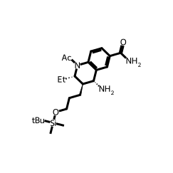 CC[C@H]1[C@H](CCCO[Si](C)(C)C(C)(C)C)[C@@H](N)c2cc(C(N)=O)ccc2N1C(C)=O